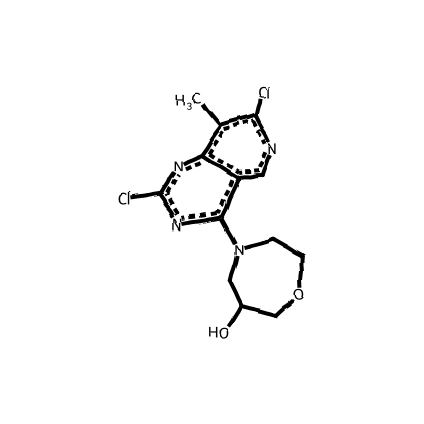 Cc1c(Cl)ncc2c(N3CCOCC(O)C3)nc(Cl)nc12